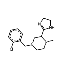 CN1CCN(Cc2ccccc2Cl)CC1C1=NCCN1